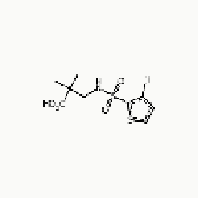 CC(C)(CNS(=O)(=O)c1sccc1Cl)C(=O)O